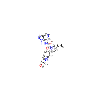 C[C@H]1CC[C@H](c2ccc3cn(C4CCOC4)nc3c2)N(C(=O)C(=O)Nc2cncc3cn[nH]c23)C1